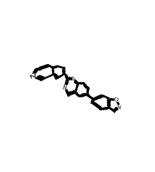 c1cc2ccc(-c3ncc4cc(-c5ccc6cnoc6c5)ccc4n3)cc2cn1